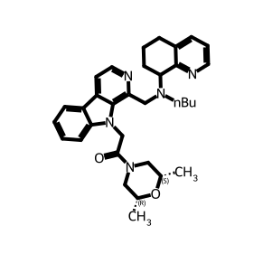 CCCCN(Cc1nccc2c3ccccc3n(CC(=O)N3C[C@@H](C)O[C@@H](C)C3)c12)C1CCCc2cccnc21